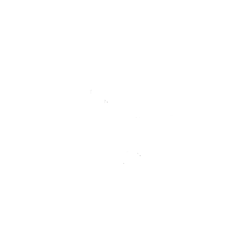 COc1ccc(NC(=O)C(F)(F)F)cc1OCCCN(Cc1cccc(C(F)(F)F)c1Cl)CC(c1ccccc1)c1ccccc1